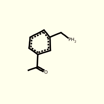 CC(=O)c1cccc(CP)c1